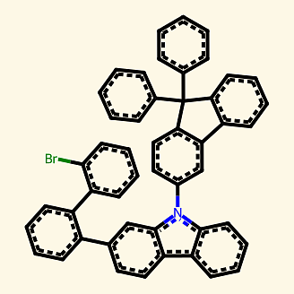 Brc1ccccc1-c1ccccc1-c1ccc2c3ccccc3n(-c3ccc4c(c3)-c3ccccc3C4(c3ccccc3)c3ccccc3)c2c1